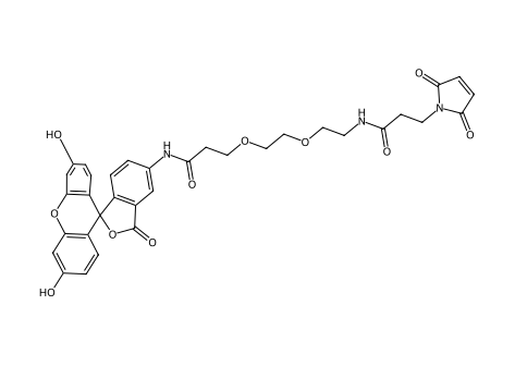 O=C(CCN1C(=O)C=CC1=O)NCCOCCOCCC(=O)Nc1ccc2c(c1)C(=O)OC21c2ccc(O)cc2Oc2cc(O)ccc21